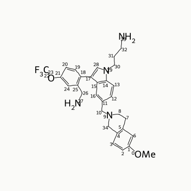 COc1ccc2c(c1)CCN(Cc1ccc3c(c1)c(-c1ccc(OC(F)(F)F)cc1CN)cn3CCCN)C2